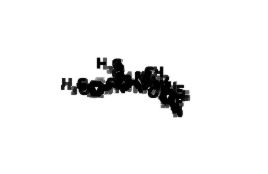 CCOc1cc(-c2ncc(NC(=O)Nc3ccc(C#N)c(C(F)(F)F)c3)c(C)n2)cnc1OCc1ccc(OC)cc1